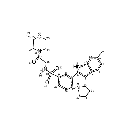 Cc1ccc2cc(-c3cc(S(=O)(=O)N(C)CC(=O)N4CCO[C@@H](C)C4)ccc3N3CCCC3)[nH]c2c1